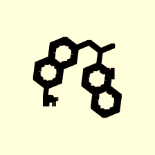 CC(C)c1ccc2ccc(CC(C)c3ccc4ccccc4n3)cc2c1